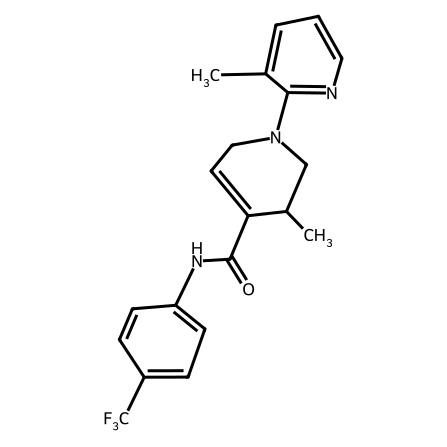 Cc1cccnc1N1CC=C(C(=O)Nc2ccc(C(F)(F)F)cc2)C(C)C1